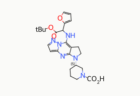 CC(C)(C)OC(=O)C(Nc1c2c(nc3ccnn13)N([C@H]1CCCN(C(=O)O)C1)CC2)c1ccco1